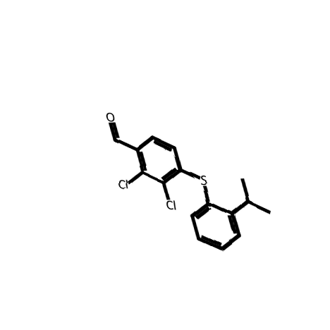 CC(C)c1ccccc1Sc1ccc(C=O)c(Cl)c1Cl